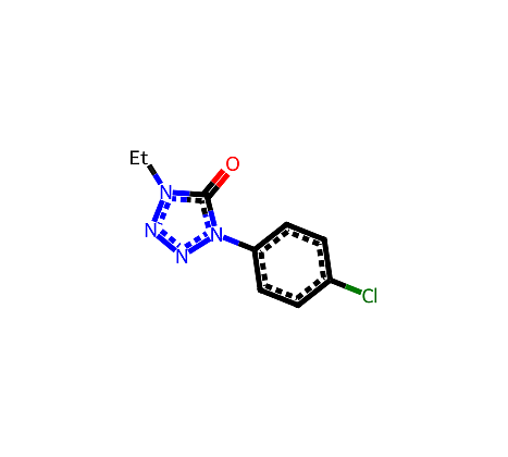 CCn1nnn(-c2ccc(Cl)cc2)c1=O